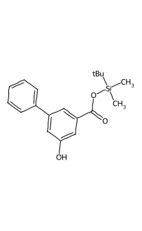 CC(C)(C)[Si](C)(C)OC(=O)c1cc(O)cc(-c2ccccc2)c1